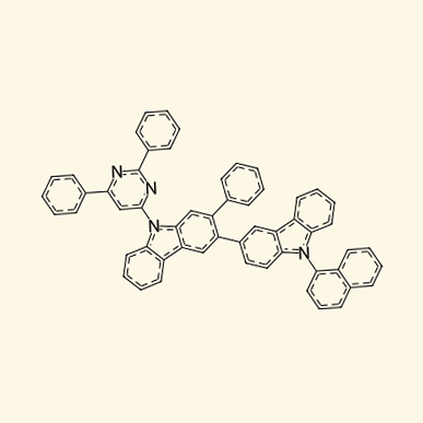 c1ccc(-c2cc(-n3c4ccccc4c4cc(-c5ccc6c(c5)c5ccccc5n6-c5cccc6ccccc56)c(-c5ccccc5)cc43)nc(-c3ccccc3)n2)cc1